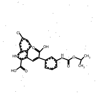 CC(C)OC(=O)Nc1cccc(C(=Cc2c(C(=O)O)[nH]c3cc(Cl)ccc23)C(=O)O)c1